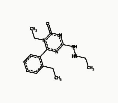 CCNNc1nc(-c2ccccc2CC)n(CC)c(=O)n1